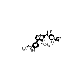 CCn1nnc2ccc(-c3ccn4nc(N[C@H]5CCN(C6(C)COC6)C[C@H]5F)nc(OC)c34)cc21